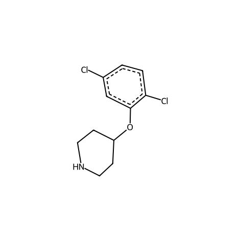 Clc1ccc(Cl)c(OC2CCNCC2)c1